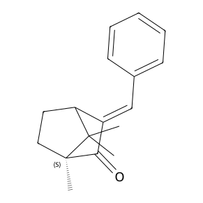 CC1(C)C2CC[C@]1(C)C(=O)C2=Cc1ccccc1